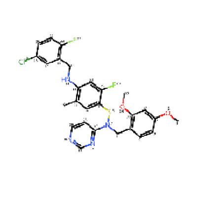 COc1ccc(CN(Sc2cc(C)c(NCc3cc(Cl)ccc3F)cc2F)c2ccncn2)c(OC)c1